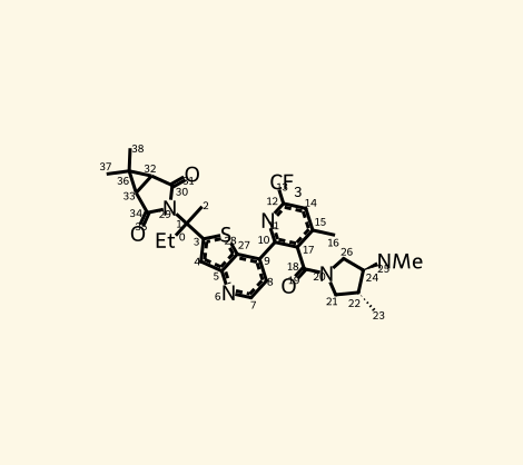 CCC(C)(c1cc2nccc(-c3nc(C(F)(F)F)cc(C)c3C(=O)N3C[C@@H](C)[C@H](NC)C3)c2s1)N1C(=O)C2C(C1=O)C2(C)C